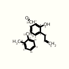 C=CCc1ccccc1O.C=O.Cc1ccccc1C